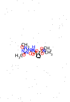 COc1nc(NC(=O)NS(=O)(=O)c2ccccc2CS(=O)(=O)N(C)C)nc(OC)n1